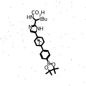 CC(C)(C)C(NC(=O)O)c1ncc(C23CCC(c4ccc(B5OC(C)(C)C(C)(C)O5)cc4)(CC2)CC3)[nH]1